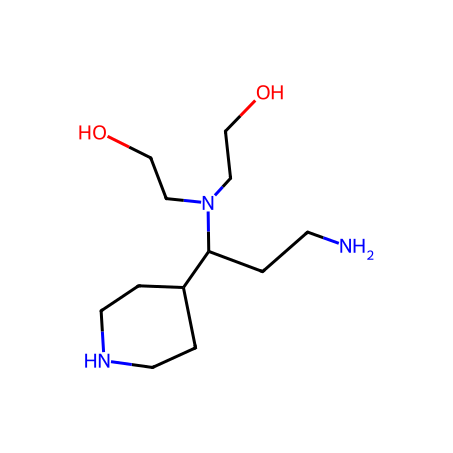 NCCC(C1CCNCC1)N(CCO)CCO